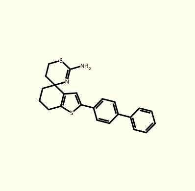 NC1=NC2(CCCc3sc(-c4ccc(-c5ccccc5)cc4)cc32)CCS1